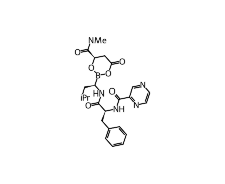 CNC(=O)[C@H]1CC(=O)OB([C@H](CC(C)C)NC(=O)[C@H](Cc2ccccc2)NC(=O)c2cnccn2)O1